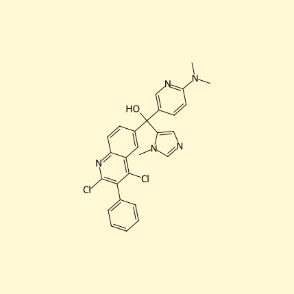 CN(C)c1ccc(C(O)(c2ccc3nc(Cl)c(-c4ccccc4)c(Cl)c3c2)c2cncn2C)cn1